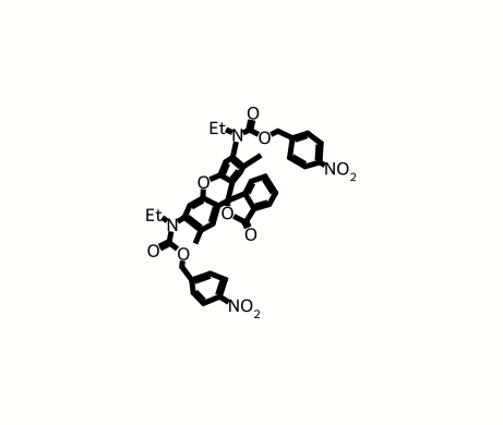 CCN(C(=O)OCc1ccc([N+](=O)[O-])cc1)c1cc2c(cc1C)C1(OC(=O)c3ccccc31)c1cc(C)c(N(CC)C(=O)OCc3ccc([N+](=O)[O-])cc3)cc1O2